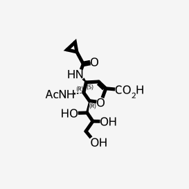 CC(=O)N[C@@H]1[C@@H](NC(=O)C2CC2)C=C(C(=O)O)O[C@H]1C(O)C(O)CO